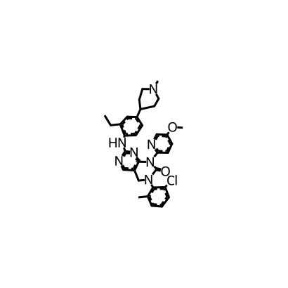 CCc1cc(C2CCN(C)CC2)ccc1Nc1ncc2c(n1)N(c1ccc(OC)cn1)C(=O)N(c1c(C)cccc1Cl)C2